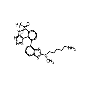 CN(CCCCCN)c1nc2c(-c3cccc(S(C)(=O)=O)c3-c3nnn[nH]3)cccc2s1